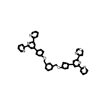 c1ccc(-c2cc(-c3ccc(OCc4cccc(COc5ccc(-c6cc(-c7ccccn7)nc(-c7ccccn7)c6)cc5)c4)cc3)cc(-c3ccccn3)n2)nc1